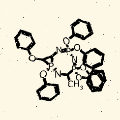 CC1N=P2(Oc3ccccc3)C(N=P(Oc3ccccc3)(Oc3ccccc3)N=P1(Oc1ccccc1)Oc1ccccc1)C2Oc1ccccc1